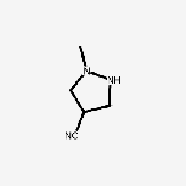 CN1CC(C#N)[CH]N1